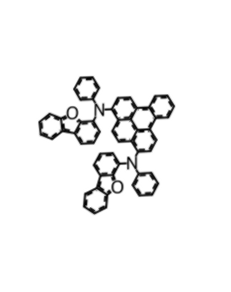 c1ccc(N(c2ccc3c4ccccc4c4ccc(N(c5ccccc5)c5cccc6c5oc5ccccc56)c5ccc2c3c54)c2cccc3c2oc2ccccc23)cc1